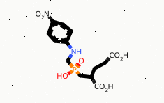 O=C(O)CCC(CP(=O)(O)CNc1ccc([N+](=O)[O-])cc1)C(=O)O